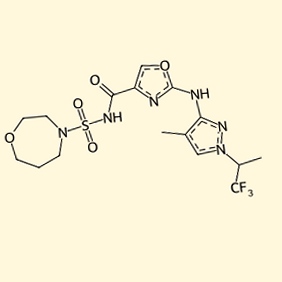 Cc1cn(C(C)C(F)(F)F)nc1Nc1nc(C(=O)NS(=O)(=O)N2CCCOCC2)co1